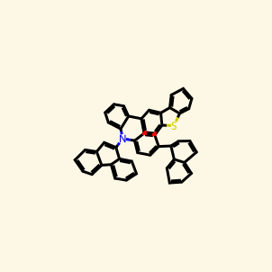 c1ccc(N(c2ccc(-c3cccc4ccccc34)cc2)c2cc3ccccc3c3ccccc23)c(-c2ccc3sc4ccccc4c3c2)c1